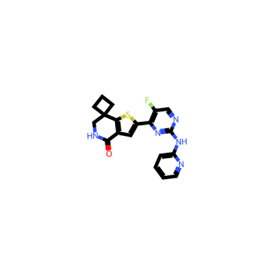 O=C1NCC2(CCC2)c2sc(-c3nc(Nc4ccccn4)ncc3F)cc21